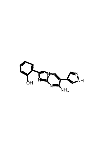 Nc1nc2nc(-c3ccccc3O)cn2cc1-c1cn[nH]c1